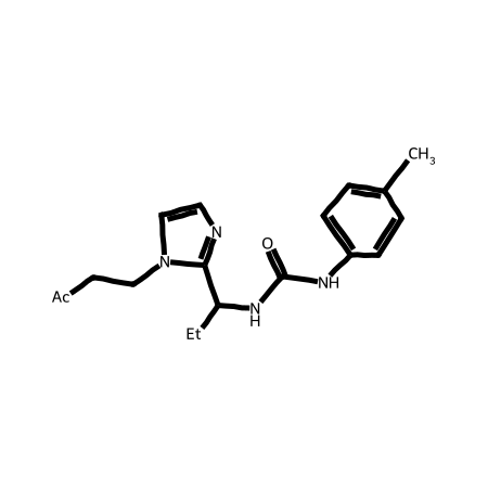 CCC(NC(=O)Nc1ccc(C)cc1)c1nccn1CCC(C)=O